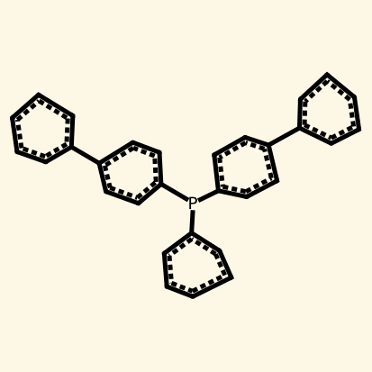 c1ccc(-c2ccc(P(c3ccccc3)c3ccc(-c4ccccc4)cc3)cc2)cc1